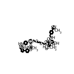 Cc1ncsc1-c1ccc(CNC(=O)[C@@H]2C[C@@H](O)CN2C(=O)C(NC(=O)CCOCCOCCN2CCN(c3ccc(Nc4ncc5ccc(-c6cccc(NS(C)(=O)=O)c6)n5n4)cc3)CC2)C(C)(C)C)cc1